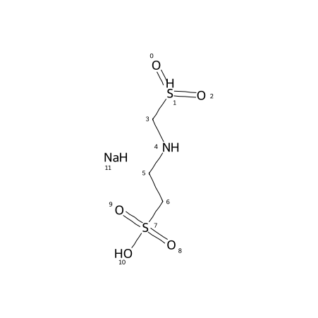 O=[SH](=O)CNCCS(=O)(=O)O.[NaH]